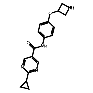 O=C(Nc1ccc(OC2CNC2)cc1)c1cnc(C2CC2)nc1